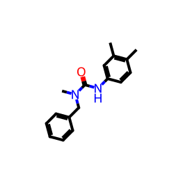 Cc1ccc(NC(=O)N(C)Cc2ccccc2)cc1C